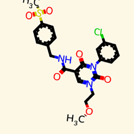 COCCn1cc(C(=O)NCc2ccc(S(C)(=O)=O)cc2)c(=O)n(-c2cccc(Cl)c2)c1=O